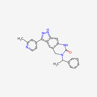 Cc1cc(-c2n[nH]c3cc4c(cc23)CN(C(C)c2ccccc2)C(=O)N4)ccn1